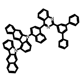 c1ccc(-c2cc(-c3ccccc3)cc(-c3nc(-c4ccc(-n5c6cc7ccccc7cc6c6c(-n7c8ccccc8c8cc9ccccc9cc87)cccc65)c5ccccc45)c4ccccc4n3)c2)cc1